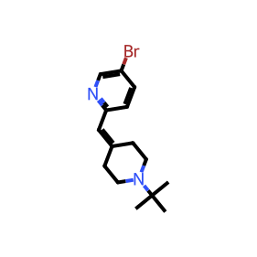 CC(C)(C)N1CCC(=Cc2ccc(Br)cn2)CC1